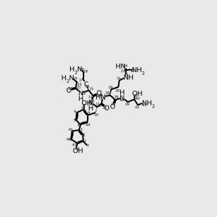 Cc1cc(-c2ccc(O)c(C[C@H](NC(=O)[C@H](CCCN)NC(=O)CN)C(=O)N[C@@H](CCCNC(=N)N)C(=O)NCC(O)CN)c2)ccc1O